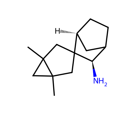 CC12CC3(CC1(C)C2)[C@H]1CCC(C1)[C@H]3N